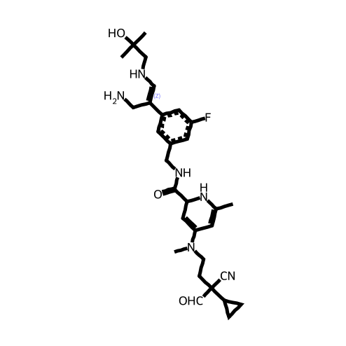 CC1=CC(N(C)CCC(C#N)(C=O)C2CC2)=CC(C(=O)NCc2cc(F)cc(/C(=C/NCC(C)(C)O)CN)c2)N1